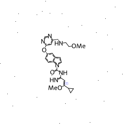 COCCNCc1cc(Oc2ccc3c(ccn3C(=O)NC(=N)/C=C(\OC)C3CC3)c2)ncn1